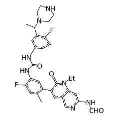 CCn1c(=O)c(-c2cc(NC(=O)Nc3ccc(F)c(C(C)N4CCNCC4)c3)c(F)cc2C)cc2cnc(NC=O)cc21